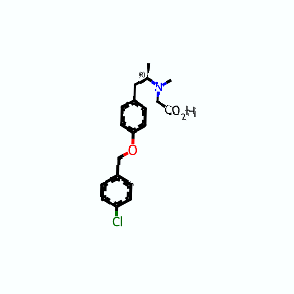 C[C@H](Cc1ccc(OCc2ccc(Cl)cc2)cc1)N(C)CC(=O)O